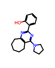 Oc1ccccc1-c1nc2c(c(N3CCCC3)n1)CCCCC2